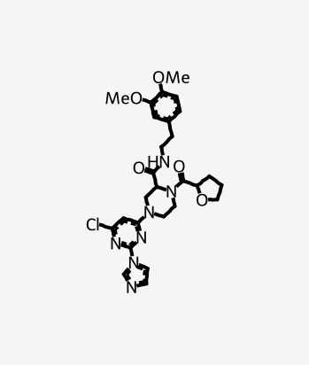 COc1ccc(CCNC(=O)C2CN(c3cc(Cl)nc(-n4ccnc4)n3)CCN2C(=O)C2CCCO2)cc1OC